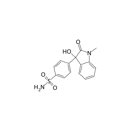 CN1C(=O)C(O)(c2ccc(S(N)(=O)=O)cc2)c2ccccc21